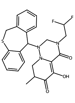 CC1CN2C(=C(O)C1=O)C(=O)N(CC(F)F)CN2C1c2ccccc2CSc2ccccc21